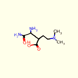 CN(C)CCC(C(=O)O)C(N)C(N)=O